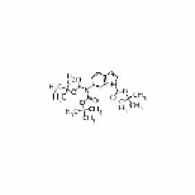 CC(C)(C)OC(=O)N(C(=O)OC(C)(C)C)c1ccc2ccn(C(=O)OC(C)(C)C)c2c1